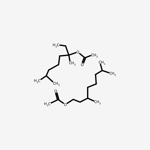 CC(=O)OCCC(C)CCCC(C)C.CCC(C)(CCCC(C)C)OC(C)=O